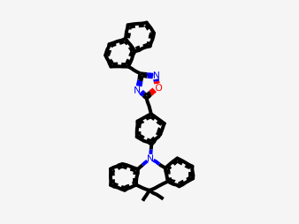 CC1(C)c2ccccc2N(c2ccc(-c3nc(-c4cccc5ccccc45)no3)cc2)c2ccccc21